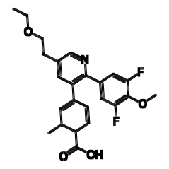 CCOCCc1cnc(-c2cc(F)c(OC)c(F)c2)c(C2=CC(C)C(C(=O)O)C=C2)c1